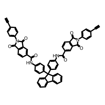 C#Cc1ccc(N2C(=O)c3ccc(C(=O)Nc4ccc(C5(c6ccc(NC(=O)c7ccc8c(c7)C(=O)N(c7ccc(C#C)cc7)C8=O)cc6)c6ccccc6-c6ccccc65)cc4)cc3C2=O)cc1